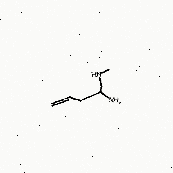 C=CCC(N)NC